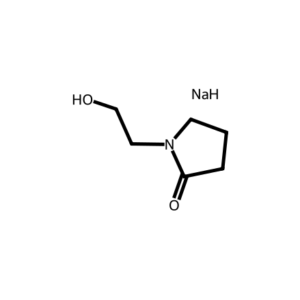 O=C1CCCN1CCO.[NaH]